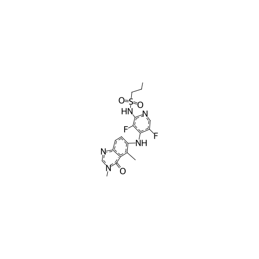 CCCS(=O)(=O)Nc1ncc(F)c(Nc2ccc3ncn(C)c(=O)c3c2C)c1F